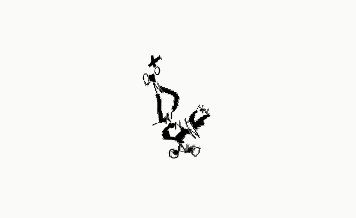 C[C@@H]1CN(C(=O)OC(C)(C)C)CCN1c1ccc([N+](=O)[O-])c(Nc2ccnnc2)n1